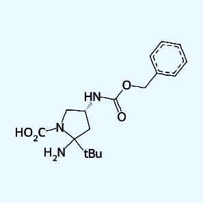 CC(C)(C)C1(N)C[C@@H](NC(=O)OCc2ccccc2)CN1C(=O)O